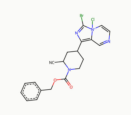 N#CC1CC(C2=C3C=NC=C[N+]3(Cl)C(Br)=N2)CCN1C(=O)OCc1ccccc1